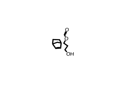 C1=CC2CCC1C2.O=COCCCO